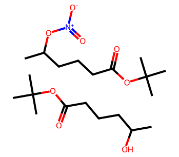 CC(CCCC(=O)OC(C)(C)C)O[N+](=O)[O-].CC(O)CCCC(=O)OC(C)(C)C